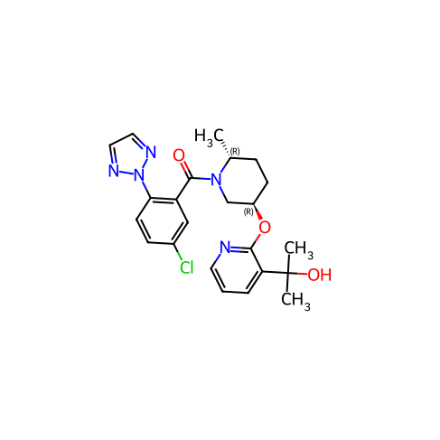 C[C@@H]1CC[C@@H](Oc2ncccc2C(C)(C)O)CN1C(=O)c1cc(Cl)ccc1-n1nccn1